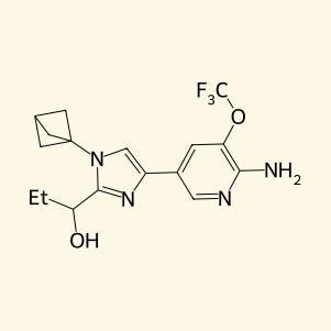 CCC(O)c1nc(-c2cnc(N)c(OC(F)(F)F)c2)cn1C12CC(C1)C2